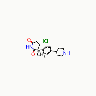 C[C@]1(c2ccc(C3CCNCC3)cc2)CCC(=O)NC1=O.Cl